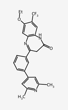 CCOc1cc2c(cc1C(F)(F)F)NC(=O)CC(c1cccc(-c3cc(C)nc(C)c3)c1)=N2